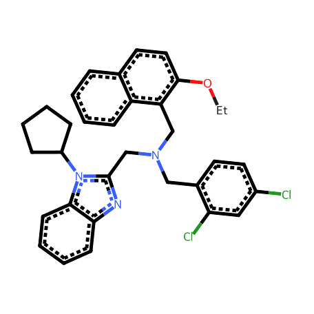 CCOc1ccc2ccccc2c1CN(Cc1ccc(Cl)cc1Cl)Cc1nc2ccccc2n1C1CCCC1